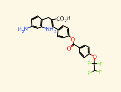 Nc1ccc(CC(=Cc2ccc(OC(=O)c3ccc(OC(F)(F)C(F)F)cc3)cc2)C(=O)O)c(N)c1